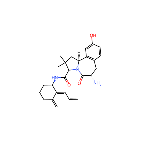 C=C/C=C1\C(=C)CCC[C@H]1NC(=O)C1N2C(=O)[C@@H](N)Cc3ccc(O)cc3[C@H]2CC1(C)C